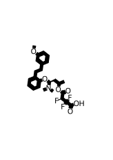 COc1cccc(CCc2ccccc2O[C@@H](CC(C)OC(=O)[C@@H](F)C(F)(F)C(=O)O)N(C)C)c1